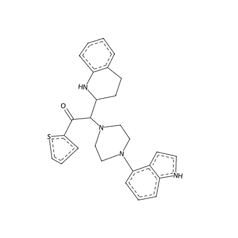 O=C(c1cccs1)C(C1CCc2ccccc2N1)N1CCN(c2cccc3[nH]ccc23)CC1